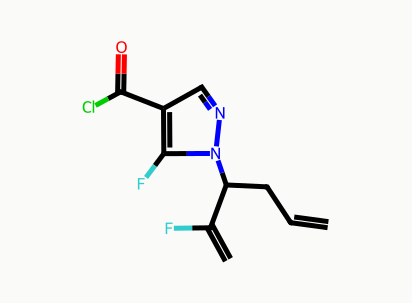 C=CCC(C(=C)F)n1ncc(C(=O)Cl)c1F